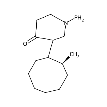 C[C@H]1CCCCCCC1C1CN(P)CCC1=O